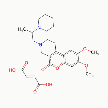 COc1cc2oc(=O)c3c(c2cc1OC)CCN(CC(C)N1CCCCC1)C3.O=C(O)C=CC(=O)O